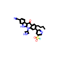 CCCCc1cc2c(=O)c3c4ccc(C#N)cc4[nH]c3n(C3CNC3)c2cc1-c1cncc(S(=O)(=O)F)c1